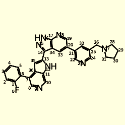 Fc1ccccc1-c1cncc2[nH]c(-c3n[nH]c4ncc(-c5cncc(CN6CCCC6)c5)cc34)cc12